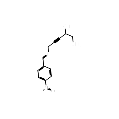 CCC(C)C#CCN=Cc1ccc([N+](=O)[O-])cc1